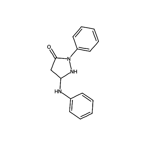 O=C1CC(Nc2ccccc2)NN1c1ccccc1